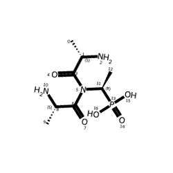 C[C@H](N)C(=O)N(C(=O)[C@H](C)N)[C@@H](C)P(=O)(O)O